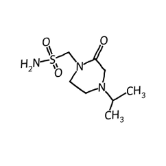 CC(C)N1CCN(CS(N)(=O)=O)C(=O)C1